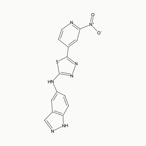 O=[N+]([O-])c1cc(-c2nnc(Nc3ccc4[nH]ncc4c3)s2)ccn1